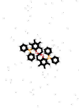 Cc1c(C)c2c(c(P(c3ccccc3)c3ccccc3)c1C)OC1(CC2)CCc2c(C)c(C)c(C)c(P(c3ccccc3)c3ccccc3)c2O1